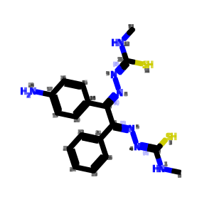 CN/C(S)=N/N=C(/C(=N/N=C(\S)NC)c1ccc(N)cc1)c1ccccc1